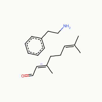 CC(C)=CCC/C(C)=C/C=O.NCCc1ccccc1